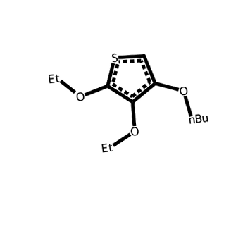 CCCCOc1csc(OCC)c1OCC